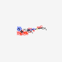 CC(=O)CC(=O)CC(=O)SCCNC(=O)CCNC(=O)[C@H](O)C(C)(C)COP(=O)(O)OP(=O)(O)OC[C@H]1O[C@@H](n2cnc3c(N)ncnc32)[C@H](O)[C@@H]1OP(=O)(O)O